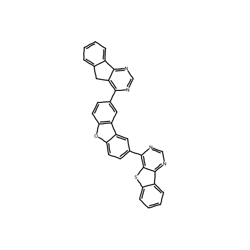 c1ccc2c(c1)Cc1c(-c3ccc4oc5ccc(-c6ncnc7c6sc6ccccc67)cc5c4c3)ncnc1-2